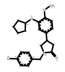 COc1ccc(C2CC(=O)N(Cc3ccc(Cl)cc3)C2)cc1OC1CCCC1